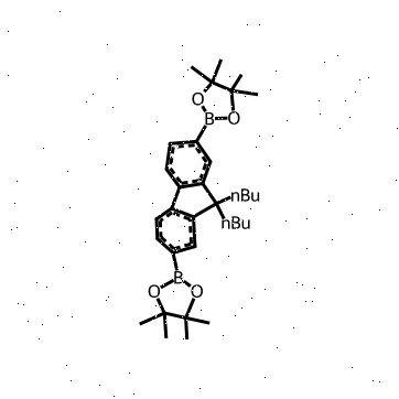 CCCCC1(CCCC)c2cc(B3OC(C)(C)C(C)(C)O3)ccc2-c2ccc(B3OC(C)(C)C(C)(C)O3)cc21